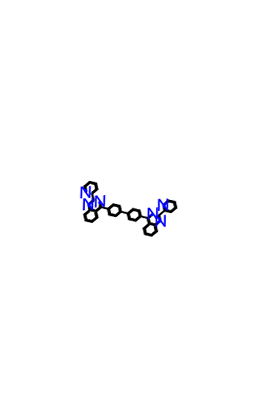 c1ccc(-c2nc(-c3ccc(-c4ccc(-c5nc(-c6ccccn6)nc6ccccc56)cc4)cc3)c3ccccc3n2)nc1